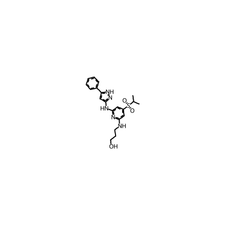 CC(C)S(=O)(=O)c1cc(NCCCO)nc(Nc2cc(-c3ccccc3)[nH]n2)c1